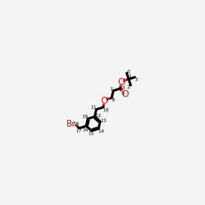 CC(C)(C)OC(=O)CCOCCc1cccc(CBr)c1